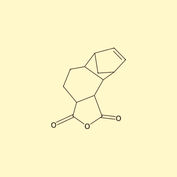 O=C1OC(=O)C2C1CCC1C3C=CC(C3)C12